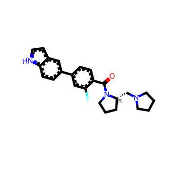 O=C(c1ccc(-c2ccc3[nH]ccc3c2)cc1F)N1CCC[C@H]1CN1CCCC1